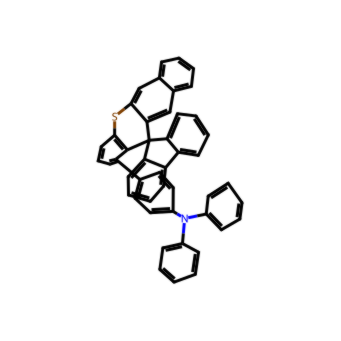 c1ccc(N(c2ccccc2)c2ccc(-c3cccc4c3C3(c5cc6ccccc6cc5S4)c4ccccc4-c4ccccc43)cc2)cc1